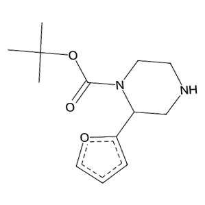 CC(C)(C)OC(=O)N1CCNCC1c1ccco1